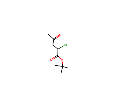 CC(=O)CC(Br)C(=O)OC(C)(C)C